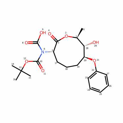 C[C@@H]1OC(=O)[C@@H](N(C(=O)O)C(=O)OC(C)(C)C)CCC[C@H](Oc2ccccc2)[C@H]1O